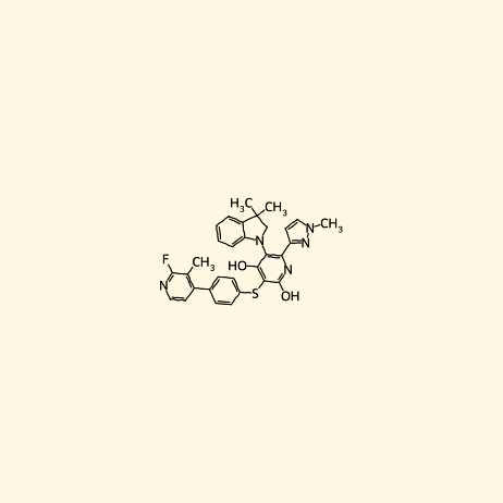 Cc1c(-c2ccc(Sc3c(O)nc(-c4ccn(C)n4)c(N4CC(C)(C)c5ccccc54)c3O)cc2)ccnc1F